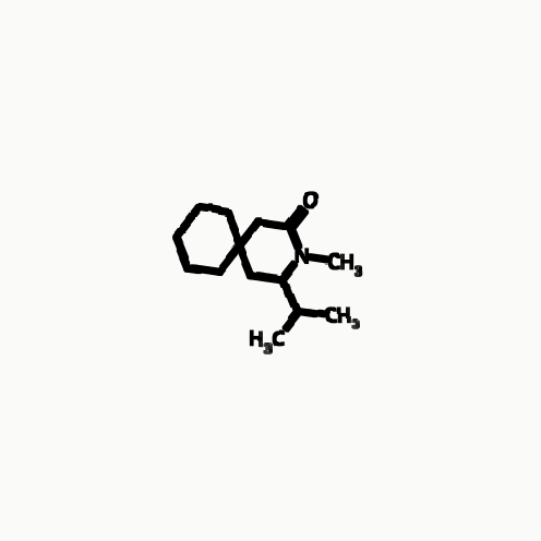 CC(C)C1CC2(CCCCC2)CC(=O)N1C